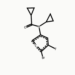 O=C(C1CC1)N(c1ccc(Br)c(F)c1)C1CC1